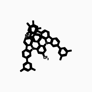 Cc1cc(C)cc(-c2ccc3c4ccc(-c5cc(C)cc(C)c5)cc4n(-c4cc(C(F)(F)F)cc(-n5c6cc(-c7cc(C)cc(C)c7)ccc6c6ccc(-c7cc(C)cc(C)c7)cc65)c4-c4cccc(C#N)c4)c3c2)c1